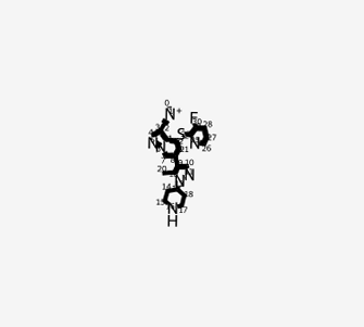 C[N+]#Cc1cnn2cc(-c3cnn(C4CCNCC4)c3C)cc(Sc3ncccc3F)c12